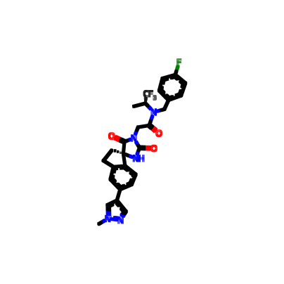 C[C@H](N(Cc1ccc(F)cc1)C(=O)CN1C(=O)N[C@]2(CCc3cc(-c4cnn(C)c4)ccc32)C1=O)C(F)(F)F